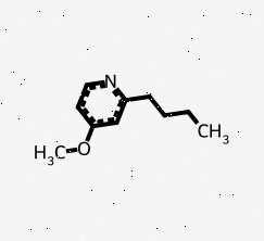 CCCCc1cc(OC)ccn1